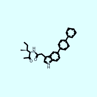 CC[C@H](C)[C@H](NC(=O)Cc1c[nH]c2ccc(-c3ccc(-c4ccccc4)cc3)cc12)C(C)=O